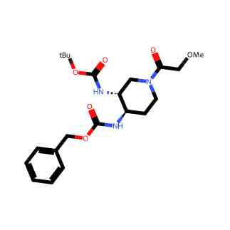 COCC(=O)N1CC[C@@H](NC(=O)OCc2ccccc2)[C@H](NC(=O)OC(C)(C)C)C1